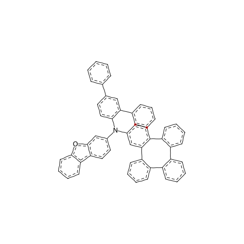 c1ccc(-c2ccc(N(c3ccc4c(c3)-c3ccccc3-c3ccccc3-c3ccccc3-4)c3ccc4c(c3)oc3ccccc34)c(-c3ccccc3)c2)cc1